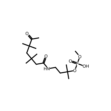 COP(=O)(O)OC(C)(C)CCNC(=O)CC(C)(C)CC(C)(C)C(C)=O